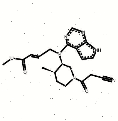 COC(=O)/C=C/CN(c1ncnc2[nH]ccc12)[C@H]1CN(C(=O)CC#N)CC[C@H]1C